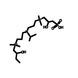 CCC(O)C[N+](C)(C)CCCN(CCC[N+](C)(C)CC(O)CS(=O)(=O)O)C(C)C